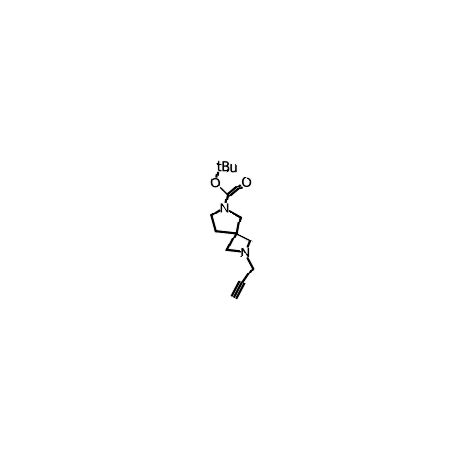 C#CCN1CC2(CCN(C(=O)OC(C)(C)C)C2)C1